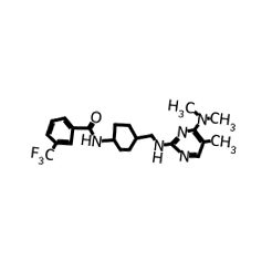 Cc1cnc(NCC2CCC(NC(=O)c3cccc(C(F)(F)F)c3)CC2)nc1N(C)C